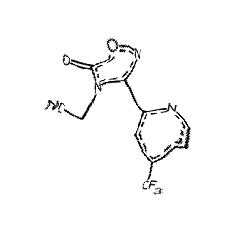 N#CCn1c(-c2cc(C(F)(F)F)ccn2)noc1=O